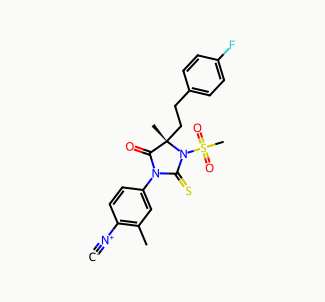 [C-]#[N+]c1ccc(N2C(=O)[C@](C)(CCc3ccc(F)cc3)N(S(C)(=O)=O)C2=S)cc1C